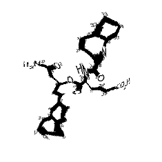 NC(=O)C[C@H](CCc1ccc2ccccc2c1)OC(=O)[C@H](CCCC(=O)O)NC(=O)c1ccc2ccccc2n1